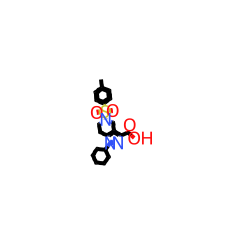 Cc1ccc(S(=O)(=O)N2CCc3c(c(C(=O)O)nn3C3CCCCC3)C2)cc1